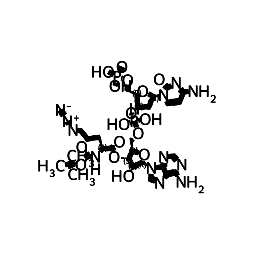 CC(C)(C)OC(=O)N[C@@H](CCCN=[N+]=[N-])C(=O)O[C@H]1[C@@H](O)[C@H](n2cnc3c(N)ncnc32)O[C@@H]1CO[PH](O)(O)O[C@H]1C[C@H](n2ccc(N)nc2=O)O[C@@H]1COP(=O)(O)O